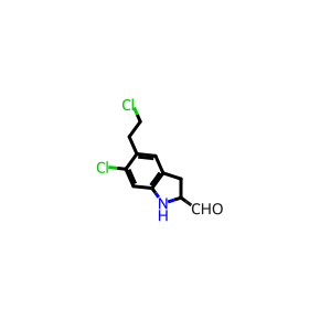 O=CC1Cc2cc(CCCl)c(Cl)cc2N1